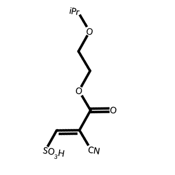 CC(C)OCCOC(=O)C(C#N)=CS(=O)(=O)O